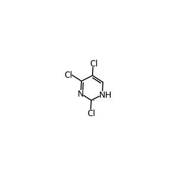 Cl[C]1N=C(Cl)C(Cl)=CN1